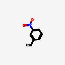 O=[N+]([O-])c1cccc([SeH])c1